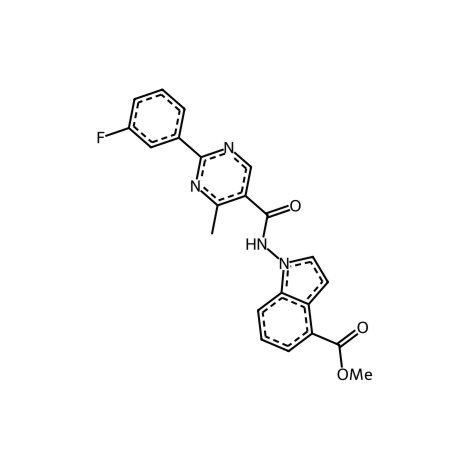 COC(=O)c1cccc2c1ccn2NC(=O)c1cnc(-c2cccc(F)c2)nc1C